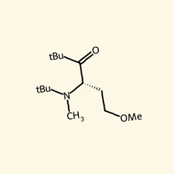 COCC[C@@H](C(=O)C(C)(C)C)N(C)C(C)(C)C